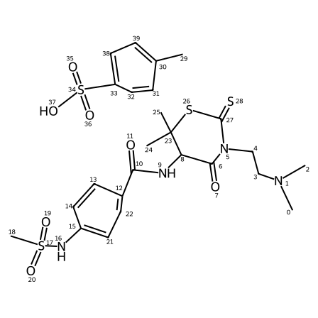 CN(C)CCN1C(=O)C(NC(=O)c2ccc(NS(C)(=O)=O)cc2)C(C)(C)SC1=S.Cc1ccc(S(=O)(=O)O)cc1